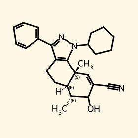 C[C@H]1C(O)C(C#N)=C[C@@]2(C)c3c(c(-c4ccccc4)nn3C3CCCCC3)CC[C@H]12